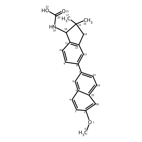 COc1ccc2cc(-c3ccc4c(c3)CC(C)(C)C4NC(=O)O)ccc2c1